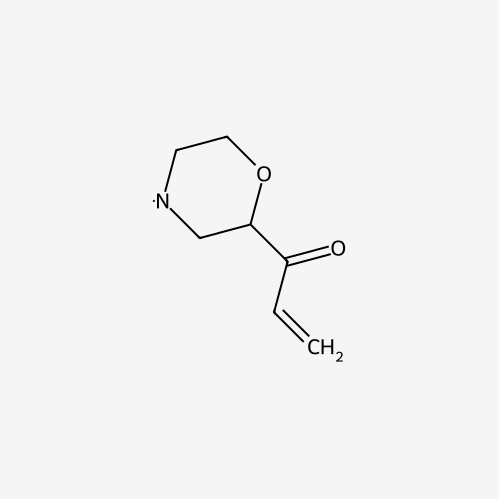 C=CC(=O)C1C[N]CCO1